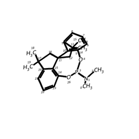 CN(C)P1Oc2cccc3c2C2(CC3(C)C)CC(C)(C)c3cccc(c32)O1